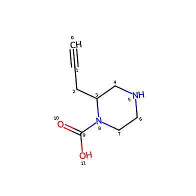 C#CCC1CNCCN1C(=O)O